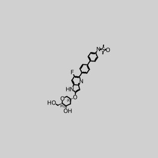 CS(C)(=O)=Nc1ccc(-c2ccc(-c3nc4cc(O[C@H]5CO[C@H](CO)[C@@H](O)C5)[nH]c4cc3F)cc2)cc1